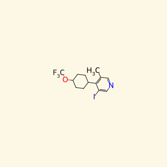 Cc1cncc(I)c1C1CCC(OC(F)(F)F)CC1